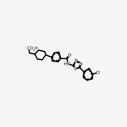 O=C(O)CC1CCC(c2ccc(C(=O)Nc3nnc(-c4cccc(Cl)c4)s3)cc2)CC1